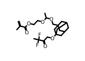 C=C(C)C(=O)OCCOC(C)OCC12CC3CC(C1)CC(OCC(=O)C(C)(F)F)(C3)C2